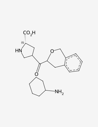 NC1CCCCC1.O=C(C1CN[C@H](C(=O)O)C1)C1Cc2ccccc2CO1